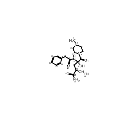 CN1CCN(C(=O)[C@](O)(CC(O)C(N)=O)NC(=O)Cc2ccccc2)CC1.Cl